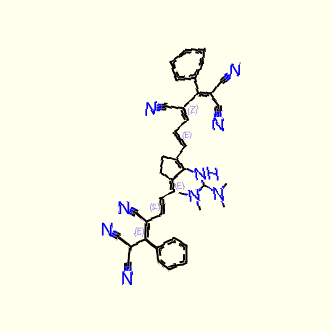 CN(C)C(NC1=C(/C=C/C=C(\C#N)C(=C(C#N)C#N)c2ccccc2)CC\C1=C/C=C/C(C#N)=C(\c1ccccc1)C(C#N)C#N)N(C)C